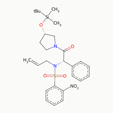 C=CCN([C@H](C(=O)N1CC[C@H](O[Si](C)(C)C(C)(C)C)C1)c1ccccc1)S(=O)(=O)c1ccccc1[N+](=O)[O-]